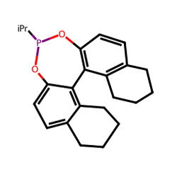 CC(C)p1oc2ccc3c(c2c2c4c(ccc2o1)CCCC4)CCCC3